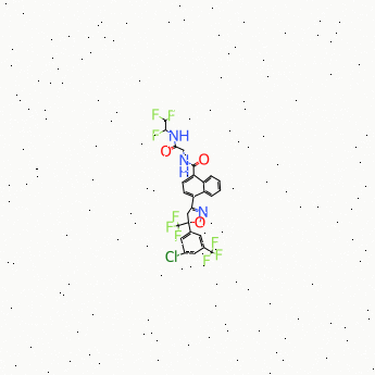 O=C(CNC(=O)c1ccc(C2=NOC(c3cc(Cl)cc(C(F)(F)F)c3)(C(F)(F)F)C2)c2ccccc12)NC(F)C(F)F